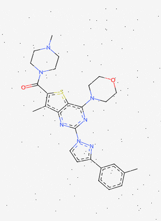 Cc1cccc(-c2ccn(-c3nc(N4CCOCC4)c4sc(C(=O)N5CCN(C)CC5)c(C)c4n3)n2)c1